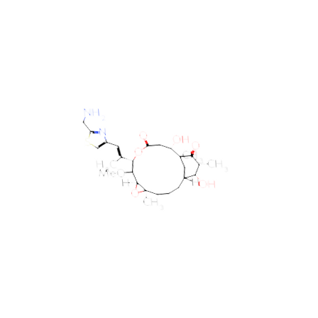 COC1[C@@H](/C(C)=C/c2csc(CN)n2)OC(=O)C[C@H](O)[C@]2(C)C[C@@H](CCC[C@@]3(C)O[C@@H]13)[C@H](O)[C@@H](C)C2=O